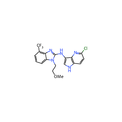 COCCn1c(Nc2c[nH]c3ccc(Cl)nc23)nc2c(C(F)(F)F)cccc21